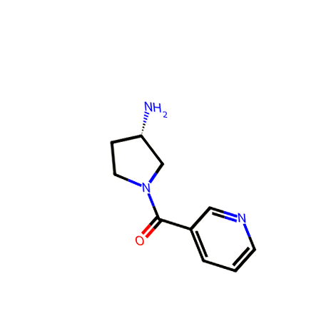 N[C@H]1CCN(C(=O)c2cccnc2)C1